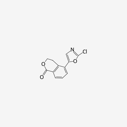 O=C1OCCc2c1cccc2-c1cnc(Cl)o1